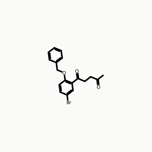 CC(=O)CCC(=O)c1cc(Br)ccc1OCc1ccccc1